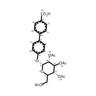 CC(=O)OCC1O[C@H](Oc2ccc(-c3ccc(C(=O)O)cc3)cc2)[C@H](OC(C)=O)C(OC(C)=O)[C@@H]1OC(C)=O